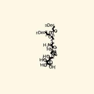 CCCCCCCCCCCCC(=O)OC[C@H](CSC[C@@H](N)C(=O)Nc1cn(C[C@H](O)C2OC(O)[C@@H](O)[C@@H]2O)nn1)OC(=O)CCCCCCCCCCCC